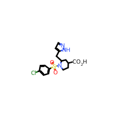 O=C(O)C1CCN(S(=O)(=O)c2ccc(Cl)cc2)C(Cc2ccn[nH]2)C1